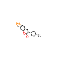 CCc1ccc(-c2cc3ccc(CP)cc3oc2=O)cc1